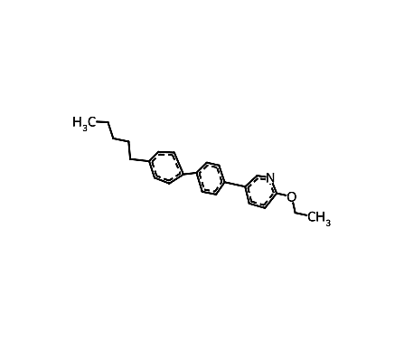 CCCCCc1ccc(-c2ccc(-c3ccc(OCC)nc3)cc2)cc1